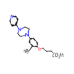 CCCc1cc(N2CCN(c3ccncc3)CC2)ccc1OCCCC(=O)OCC